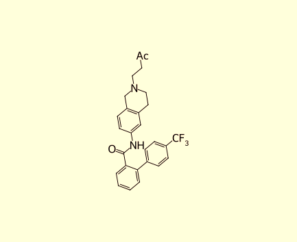 CC(=O)CCN1CCc2cc(NC(=O)c3ccccc3-c3ccc(C(F)(F)F)cc3)ccc2C1